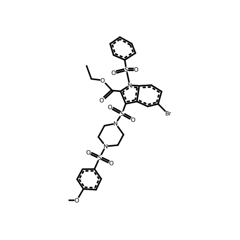 CCOC(=O)c1c(S(=O)(=O)N2CCN(S(=O)(=O)c3ccc(OC)cc3)CC2)c2cc(Br)ccc2n1S(=O)(=O)c1ccccc1